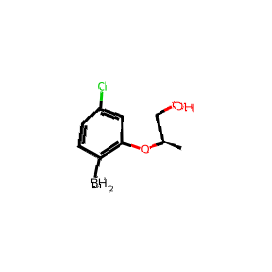 Bc1ccc(Cl)cc1O[C@H](C)CO